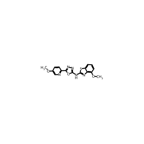 COc1ccc(-c2nnc(Nc3nc4c(OC)cccc4s3)o2)nc1